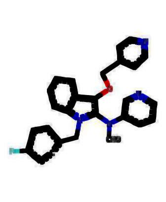 O=CN(c1cccnc1)c1c(OCc2ccncc2)c2ccccc2n1Cc1ccc(F)cc1